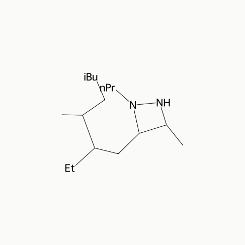 CCCN1NC(C)C1CC(CC)C(C)CC(C)CC